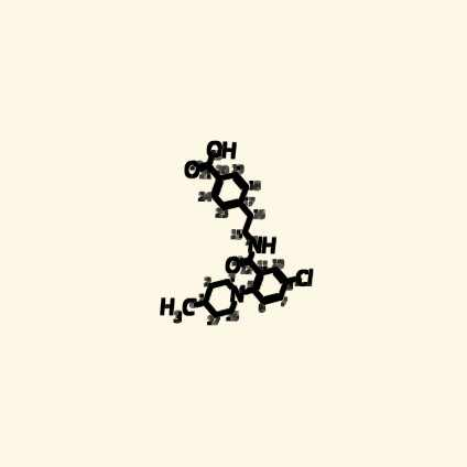 CC1CCN(c2ccc(Cl)cc2C(=O)NCCc2ccc(C(=O)O)cc2)CC1